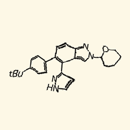 CC(C)(C)c1ccc(-c2ccc3nn(C4CCCCO4)cc3c2-c2cc[nH]n2)cc1